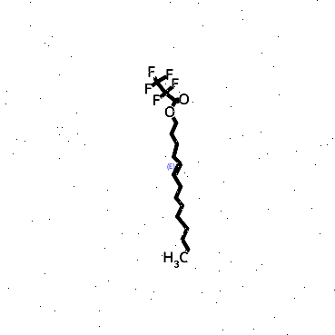 CCCCCCCC/C=C/CCCCOC(=O)C(F)(F)C(F)(F)F